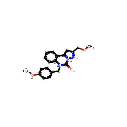 COCc1cc2c3ccccc3n(Cc3ccc(OC)cc3)c(=O)n2n1